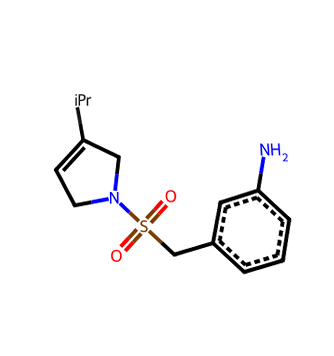 CC(C)C1=CCN(S(=O)(=O)Cc2cccc(N)c2)C1